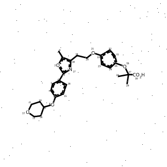 Cc1oc(-c2ccc(OC3CCOCC3)cc2)nc1CCOc1ccc(OC(C)(C)C(=O)O)cc1